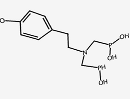 OPCN(CCc1ccc(O)cc1)CP(O)O